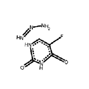 N=NN.O=c1[nH]cc(F)c(=O)[nH]1